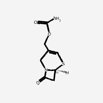 NC(=O)OCC1=CS[C@H]2CC(=O)N2C1